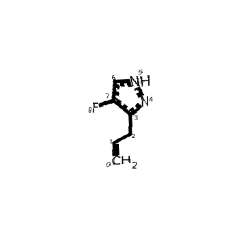 C=CCc1n[nH]cc1F